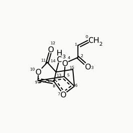 C=CC(=O)Oc1c2oc3c1OC(=O)C3(C)C2